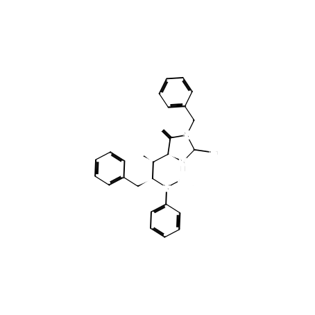 CC(C)C1N[C@@H]([C@H](O)[C@H](Cc2ccccc2)N(C(=O)O)c2ccccc2)C(=O)N1Cc1ccccc1